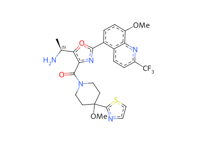 COc1ccc(-c2nc(C(=O)N3CCC(OC)(c4nccs4)CC3)c([C@H](C)N)o2)c2ccc(C(F)(F)F)nc12